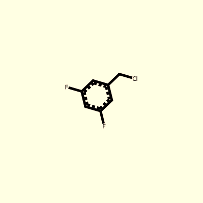 Fc1[c]c(CCl)cc(F)c1